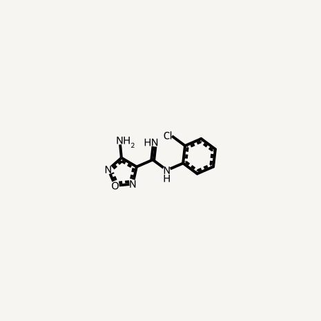 N=C(Nc1ccccc1Cl)c1nonc1N